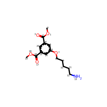 COC(=O)c1cc(OCCCCCN)cc(C(=O)OC)c1